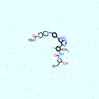 Cc1c(NC(=O)N2CC(O)C(CC(C)C)C2)cc(F)cc1-c1ncnc2[nH]c(-c3ccc(CN4CCC5(CC4)CCN(C(=O)OC(C)(C)C)CC5)cc3)cc12